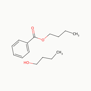 CCCCO.CCCCOC(=O)c1ccccc1